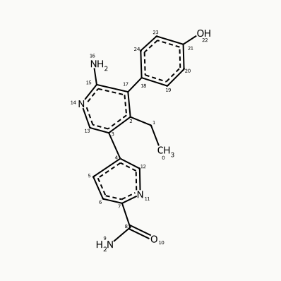 CCc1c(-c2ccc(C(N)=O)nc2)cnc(N)c1-c1ccc(O)cc1